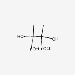 CCCCCCCCC(C)(O)C(C)(O)CCCCCCCC